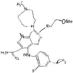 COCCOc1ccc2c(Nc3ccc(C)cc3F)c(C(N)=O)cnc2c1N1CCN(C)CC1